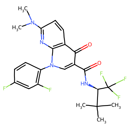 CN(C)c1ccc2c(=O)c(C(=O)N[C@H](C(C)(C)C)C(F)(F)F)cn(-c3ccc(F)cc3F)c2n1